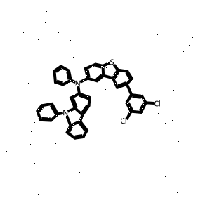 Clc1cc(Cl)cc(-c2ccc3sc4ccc(N(c5ccccc5)c5ccc6c7ccccc7n(-c7ccccc7)c6c5)cc4c3c2)c1